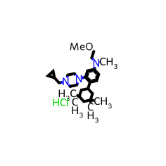 COCCN(C)c1ccc(C2CC(C)(C)CC(C)(C)C2)c(N2CCN(CC3CC3)CC2)c1.Cl